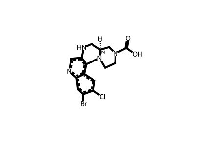 O=C(O)N1CCN2c3c(cnc4cc(Br)c(Cl)cc34)NC[C@H]2C1